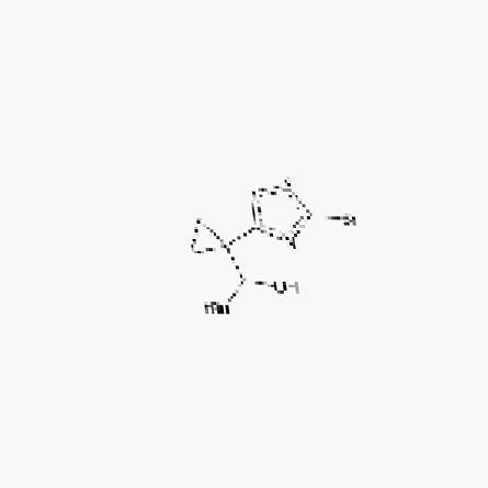 CC(C)(C)C(O)C1(c2csc(Br)n2)CC1